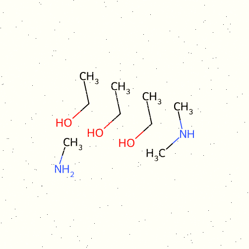 CCO.CCO.CCO.CN.CNC